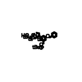 CC(C)(C)[C@]1(CO[Si](C)(C)C(C)(C)C)[C@@H](c2cc(CO[Si](C)(C)C(C)(C)C)cc(OCc3ccccc3)c2)CCN1C(=O)O